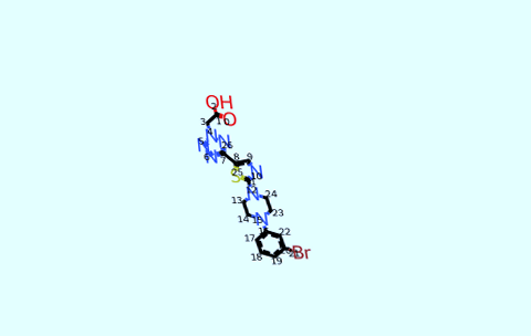 O=C(O)Cn1nnc(-c2cnc(N3CCN(c4cccc(Br)c4)CC3)s2)n1